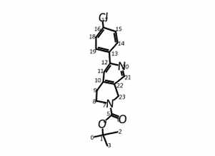 CC(C)(C)OC(=O)N1CCc2cc(-c3ccc(Cl)cc3)ncc2C1